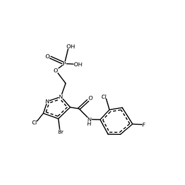 O=C(Nc1ccc(F)cc1Cl)c1c(Br)c(Cl)nn1COP(=O)(O)O